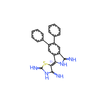 N=C1NC(=N)/C(=C2\NC(=N)c3cc(-c4ccccc4)c(-c4ccccc4)cc32)S1